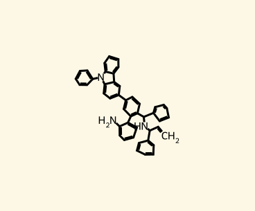 C=CC(NC(c1ccccc1)c1ccc(-c2ccc3c(c2)c2ccccc2n3-c2ccccc2)cc1-c1ccccc1N)c1ccccc1